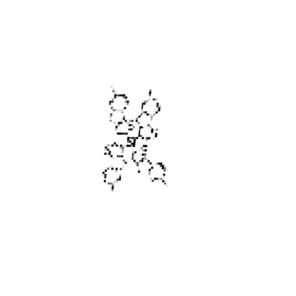 Cc1ccc2c(c1)Cc1cc([Si](C3=CSC4c5ccc(C)cc5CC34)(C3=CSC4c5ccc(C)cc5CC34)c3cc4c(s3)-c3ccc(C)cc3C4)sc1-2